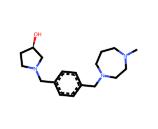 CN1CCCN(Cc2ccc(CN3CC[C@@H](O)C3)cc2)CC1